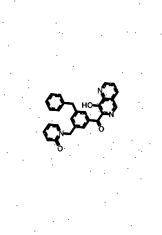 O=C(c1cc(Cc2ccccc2)cc(Cn2ccccc2=O)c1)c1ncc2cccnc2c1O